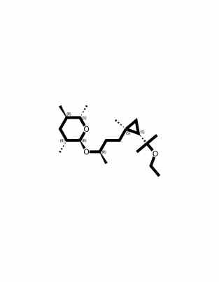 CCOC(C)(C)[C@H]1C[C@]1(C)CC[C@@H](C)O[C@@H]1O[C@@H](C)[C@H](C)C[C@H]1C